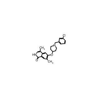 Cc1cc2c(=O)[nH]cc(C)c2cc1OC1CCN(Cc2cccc(Cl)c2)CC1